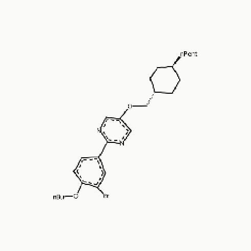 CCCCC[C@H]1CC[C@H](COc2cnc(-c3ccc(OCCCC)c(Br)c3)nc2)CC1